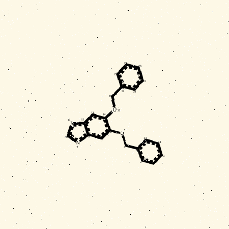 c1ccc(COc2cc3ncsc3cc2OCc2ccccc2)cc1